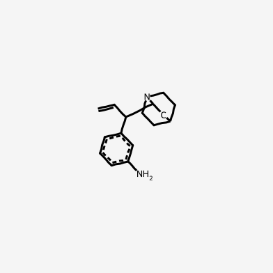 C=CC(c1cccc(N)c1)C1CC2CCN1CC2